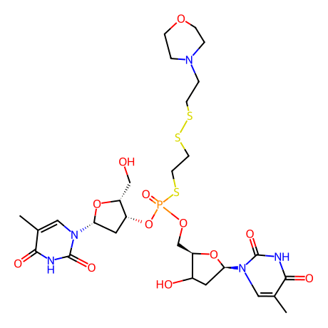 Cc1cn([C@H]2CC(O)[C@@H](COP(=O)(O[C@@H]3C[C@H](n4cc(C)c(=O)[nH]c4=O)O[C@@H]3CO)SCCSSCCN3CCOCC3)O2)c(=O)[nH]c1=O